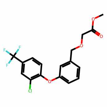 COC(=O)COCc1cccc(Oc2ccc(C(F)(F)F)cc2Cl)c1